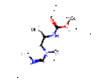 CCN(/C=N\C)CC(C=O)NC(=O)OC(C)(C)C